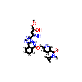 COC/C(O)=C/C(=N)c1nnc2c3ccccc3c(OCc3ccc(C(=O)N(C)C4CC4)cn3)nn12